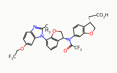 Cc1nc2ccc(OCC(F)(F)F)cc2n1-c1cccc2c1OC[C@H]2N(C(=O)C(F)(F)F)c1ccc2c(c1)OC[C@H]2CC(=O)O